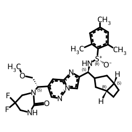 COC[C@H](c1cnn2cc([C@@H](N[S@@+]([O-])c3c(C)cc(C)cc3C)C3C[C@H]4CC[C@H]4C3)nc2c1)N1CC(F)(F)CNC1=O